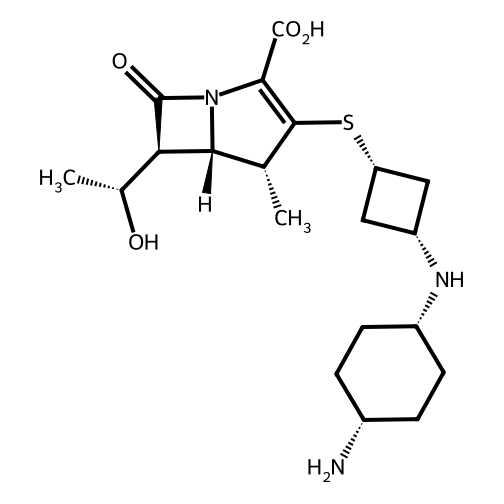 C[C@@H](O)[C@H]1C(=O)N2C(C(=O)O)=C(S[C@H]3C[C@@H](N[C@H]4CC[C@@H](N)CC4)C3)[C@H](C)[C@H]12